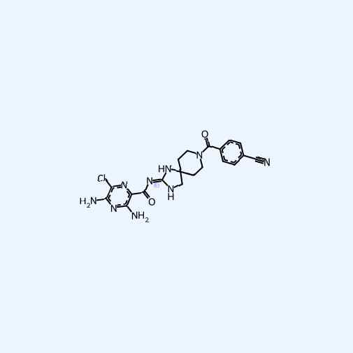 N#Cc1ccc(C(=O)N2CCC3(CC2)CN/C(=N\C(=O)c2nc(Cl)c(N)nc2N)N3)cc1